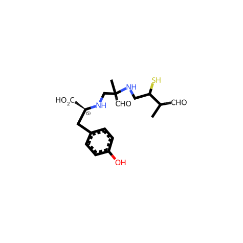 CC(C=O)C(S)CNC(C)(C=O)CN[C@@H](Cc1ccc(O)cc1)C(=O)O